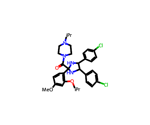 COc1ccc(C2(C(=O)N3CCN(C(C)C)CC3)NC(c3ccc(Cl)cc3)C(c3ccc(Cl)cc3)N2)c(OC(C)C)c1